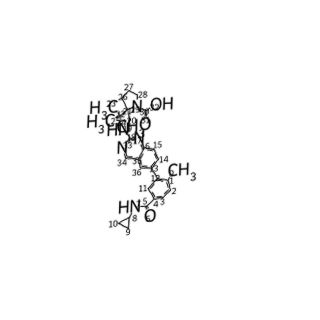 Cc1ccc(C(=O)NC2CC2)cc1-c1ccc2nc(NC[C@@]3(C(C)(C)C)CCCN3C(=O)O)ncc2c1